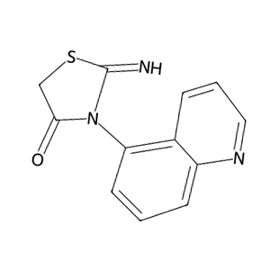 N=C1SCC(=O)N1c1cccc2ncccc12